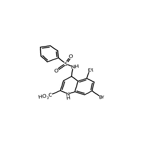 CCc1cc(Br)cc2c1C(NS(=O)(=O)c1ccccc1)C=C(C(=O)O)N2